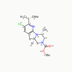 CO[C@@H](C)c1nc2c(cc1Cl)C[C@@H]1CN(C(=O)OC(C)(C)C)C[C@@H](C)N21